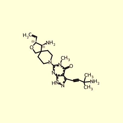 C=C[C@@H]1OCC2(CCN(c3nc4[nH]nc(C#CC(C)(C)N)c4c(=O)n3C)CC2)[C@@H]1N